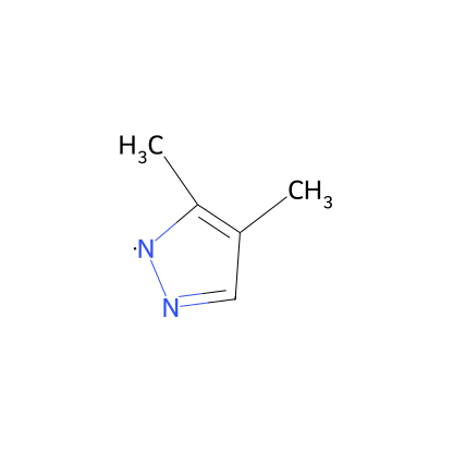 CC1=C(C)[N]N=C1